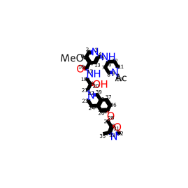 COc1cnc(NC2CCN(C(C)=O)CC2)cc1C(=O)NCC(O)CN1CCc2cc(OCc3ocnc3C)ccc2C1